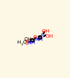 CC(C)S(=O)(=O)NC1CCC(C(=O)Nc2ccc(N(CCO)CCO)cc2)CC1